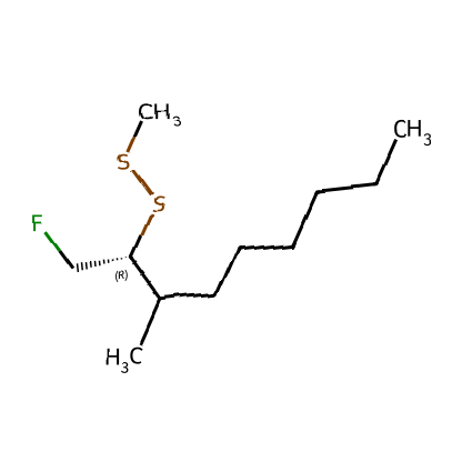 CCCCCCC(C)[C@H](CF)SSC